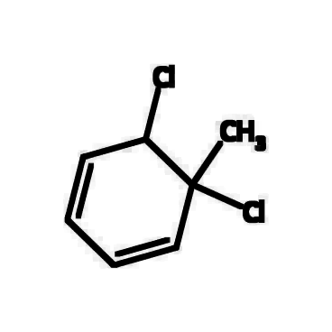 CC1(Cl)C=CC=CC1Cl